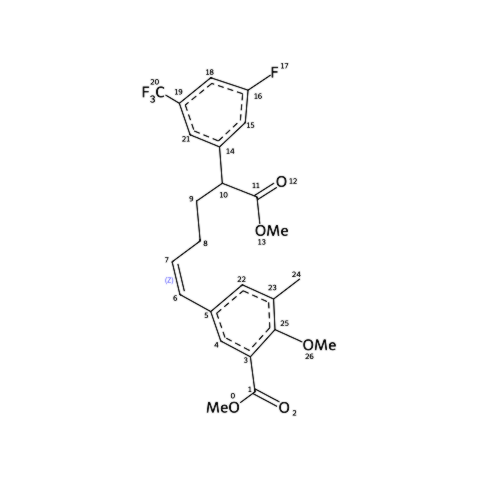 COC(=O)c1cc(/C=C\CCC(C(=O)OC)c2cc(F)cc(C(F)(F)F)c2)cc(C)c1OC